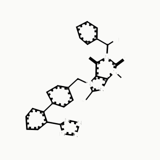 CCCc1nc2c(c(=O)n(C(C)c3ccccc3)c(=O)n2C)n1Cc1ccc(-c2ccccc2-c2nnn[nH]2)cc1